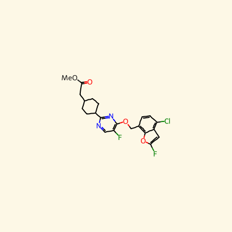 COC(=O)CC1CCC(c2ncc(F)c(OCc3ccc(Cl)c4cc(F)oc34)n2)CC1